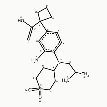 CC(C)CN(c1ccc(C2(C(=O)O)CCC2)cc1N)C1CCS(=O)(=O)CC1